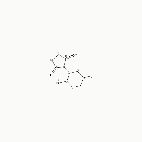 CC1CCC(C(C)C)C(N2C(=O)CCC2=O)C1